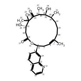 C/C1=C/C[C@@H](c2ccc3cccnc3c2)OC(=O)C[C@H](O)C(C)(C)C(=O)[C@H](C)[C@@H](O)[C@@H](C)CCC1